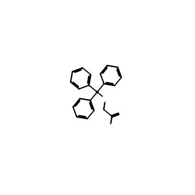 C[C@H](OC(c1ccccc1)(c1ccccc1)c1ccccc1)C(=O)O